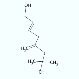 C=C(C/C=C/CO)CC(C)(C)C